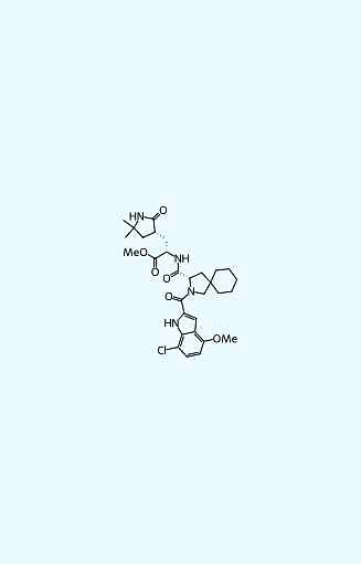 COC(=O)[C@H](C[C@@H]1CC(C)(C)NC1=O)NC(=O)[C@@H]1CC2(CCCCC2)CN1C(=O)c1cc2c(OC)ccc(Cl)c2[nH]1